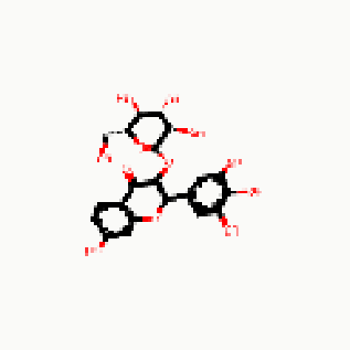 O=C1c2ccc(O)cc2OC(c2cc(O)c(O)c(O)c2)C1O[C@H]1O[C@H](CO)[C@@H](O)[C@H](O)[C@H]1O